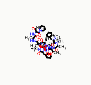 CNC(=O)[C@H](NC(=O)[C@H](C)NC(=O)[C@H](C)N(C)C(=O)[C@H](CC(C)C)N(C)C(=O)[C@H](C(C)C)N(C)C(=O)[C@H](Cc1ccccc1)NC(=O)[C@H](C)N(C)C(=O)[C@@H](NC(=O)[C@H](C)N(C)C(=O)[C@H](Cc1ccccc1)N(C)C(C)=O)[C@@H](C)O)C(=O)N1CCCCC1